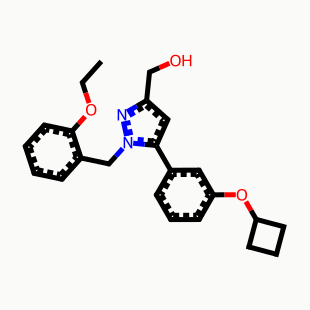 CCOc1ccccc1Cn1nc(CO)cc1-c1cccc(OC2CCC2)c1